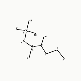 CCCC(C)B(C)SS(C)(C)C